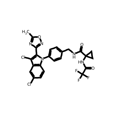 Cc1nc(-c2c(Cl)c3cc(Cl)ccc3n2-c2ccc(CNC(=O)C3(NC(=O)C(F)(F)F)CC3)cc2)no1